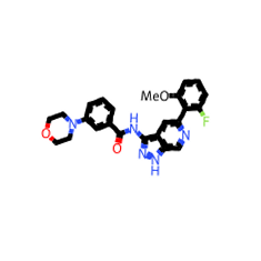 COc1cccc(F)c1-c1cc2c(NC(=O)c3cccc(N4CCOCC4)c3)n[nH]c2cn1